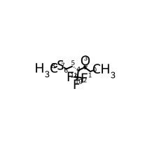 CCC(=O)[C@@H](CCSC)C(F)(F)F